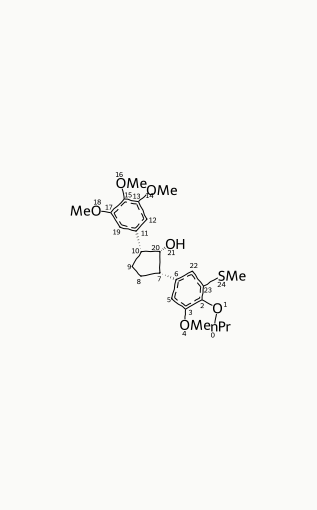 CCCOc1c(OC)cc([C@@H]2CC[C@H](c3cc(OC)c(OC)c(OC)c3)[C@@H]2O)cc1SC